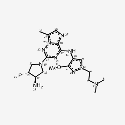 COc1nn(CCN(C)C)cc1Nc1nc(N2C[C@@H](N)[C@H](F)C2)nn2c(C)cnc12